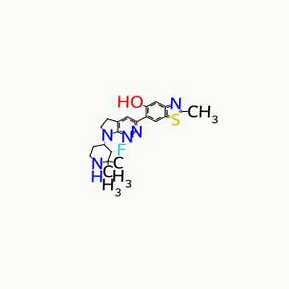 Cc1nc2cc(O)c(-c3cc4c(nn3)N([C@H]3CCNC(C)(C)[C@H]3F)CC4)cc2s1